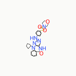 O=C1Nc2cnc(Nc3ccc(S(=O)(=O)N4CCOCC4)cc3)nc2N(C2CCCC2)c2ccccc21